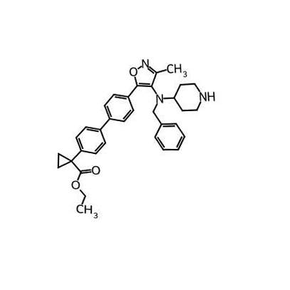 CCOC(=O)C1(c2ccc(-c3ccc(-c4onc(C)c4N(Cc4ccccc4)C4CCNCC4)cc3)cc2)CC1